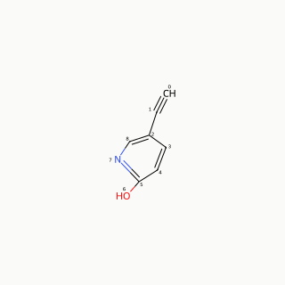 C#Cc1ccc(O)nc1